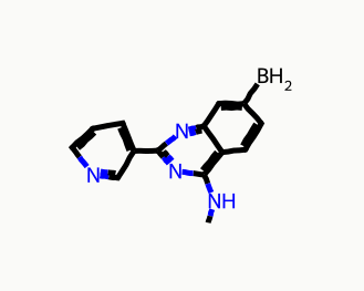 Bc1ccc2c(NC)nc(-c3cccnc3)nc2c1